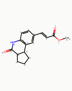 COC(=O)C=Cc1ccc2c(c1)C1CCCC1C(=O)N2